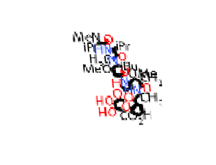 CCC(C)C(C(CC(=O)N1CCCC1C(OC)C(C)C(=O)NC(C)C(OC1OC(C(=O)O)C(O)C(O)C1O)c1ccccc1)OC)N(C)C(=O)C(NC(=O)C(NC)C(C)C)C(C)C